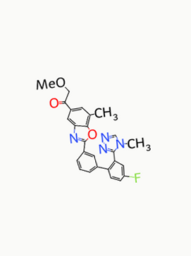 COCC(=O)c1cc(C)c2oc(-c3cccc(-c4ccc(F)cc4-c4nncn4C)c3)nc2c1